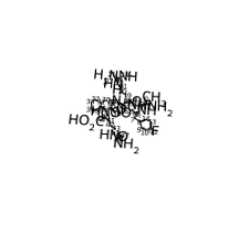 C[C@H](N)C(=O)N[C@@H](Cc1ccc(F)cc1)C(=O)N[C@@H](CCCNC(=N)N)C(=O)N[C@@H](CC1CCCCC1)C(=O)N[C@@H](CCCNC(N)=O)C(=O)O